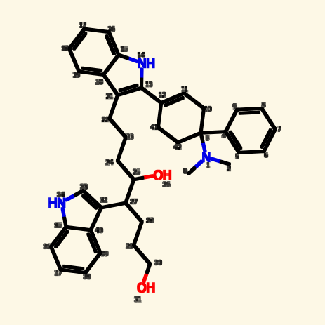 CN(C)C1(c2ccccc2)CC=C(c2[nH]c3ccccc3c2CCCC(O)C(CCCO)c2c[nH]c3ccccc23)CC1